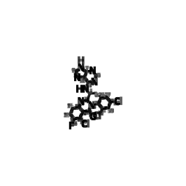 CC(Nc1ncnc2[nH]cnc12)c1nc2ccc(F)c(Cl)c2c(=O)n1-c1ccc(Cl)cc1Cl